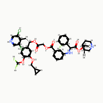 O=C(COC(=O)c1cccc(NC(C(=O)O[C@H]2CN3CCC2CC3)c2ccccc2F)c1)O[C@@H](Cc1c(Cl)cncc1Cl)c1ccc(OC(F)F)c(OCC2CC2)c1